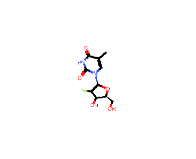 Cc1cn([C@H]2O[C@@H](CO)C(O)C2F)c(=O)[nH]c1=O